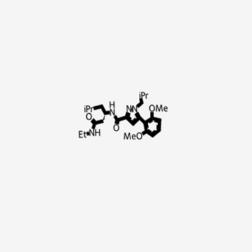 CCNC(=O)C[C@H](CC(C)C)NC(=O)c1cc(-c2c(OC)cccc2OC)n(CC(C)C)n1